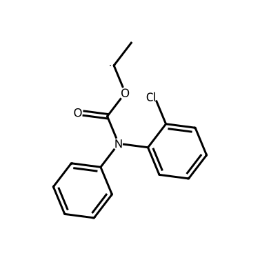 C[CH]OC(=O)N(c1ccccc1)c1ccccc1Cl